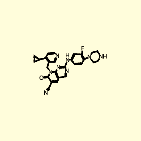 N#Cc1cc2cnc(Nc3ccc(N4CCNCC4)c(F)c3)nc2n(Cc2cnccc2C2CC2)c1=O